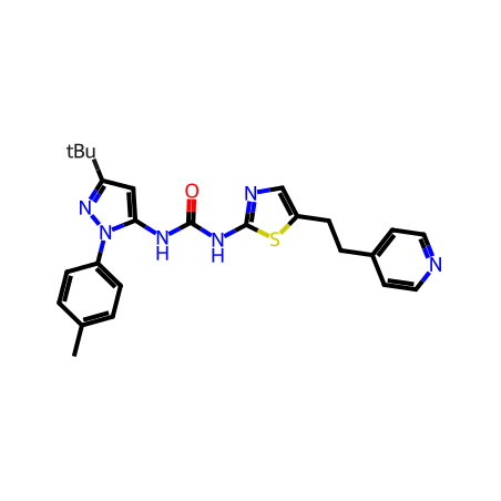 Cc1ccc(-n2nc(C(C)(C)C)cc2NC(=O)Nc2ncc(CCc3ccncc3)s2)cc1